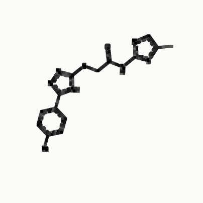 CCc1ccc(-c2nnc(SCC(=O)Nc3ncc(C)s3)[nH]2)cc1